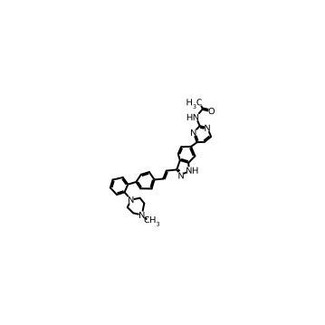 CC(=O)Nc1nccc(-c2ccc3c(C=Cc4ccc(-c5ccccc5N5CCN(C)CC5)cc4)n[nH]c3c2)n1